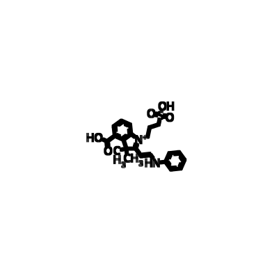 CC1(C)C(/C=C/Nc2ccccc2)=[N+](CCCS(=O)(=O)O)c2cccc(C(=O)O)c21